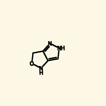 c1[nH]nc2c1NOC2